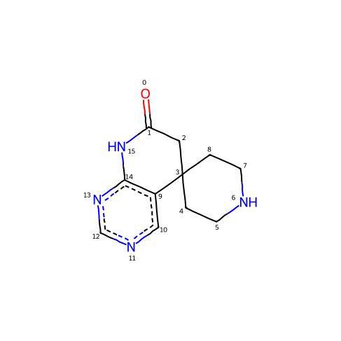 O=C1CC2(CCNCC2)c2cncnc2N1